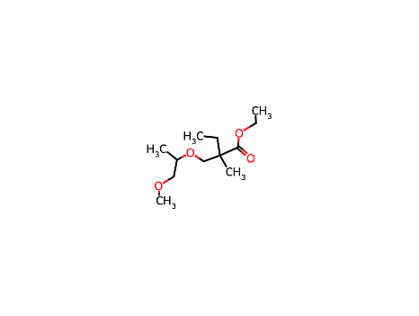 CCOC(=O)C(C)(CC)COC(C)COC